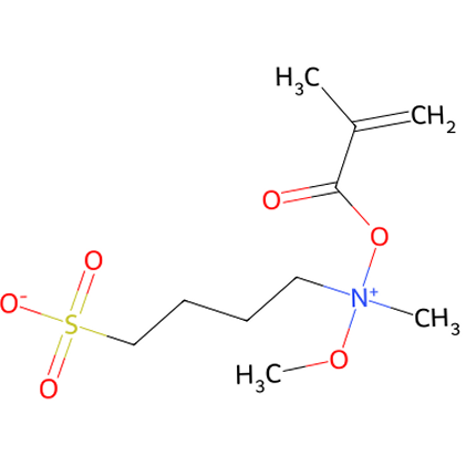 C=C(C)C(=O)O[N+](C)(CCCCS(=O)(=O)[O-])OC